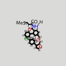 CSCC[C@H](NC(=O)c1ccc(COCc2occc2-c2ccc(Cl)cc2)cc1-c1ccccc1C)C(=O)O